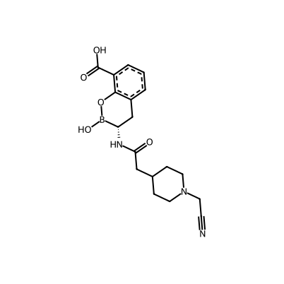 N#CCN1CCC(CC(=O)N[C@H]2Cc3cccc(C(=O)O)c3OB2O)CC1